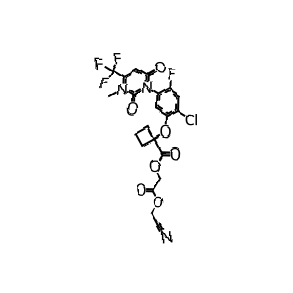 Cn1c(C(F)(F)F)cc(=O)n(-c2cc(OC3(C(=O)OCC(=O)OCC#N)CCC3)c(Cl)cc2F)c1=O